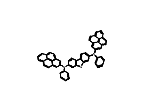 c1ccc(N(c2cc3ccc4cccc5ccc(c2)c3c45)c2ccc3c(c2)oc2cc(N(c4ccccc4)c4cc5ccc6cccc7ccc(c4)c5c67)ccc23)cc1